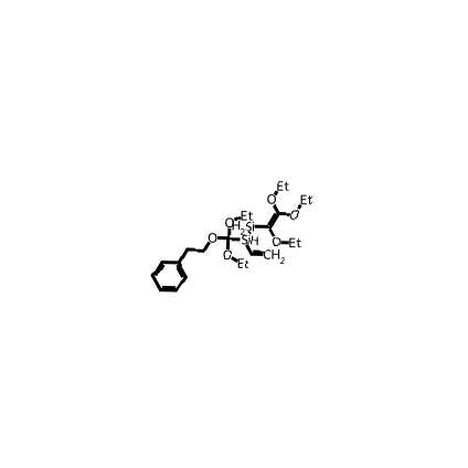 C=C[SiH]([SiH2]C(OCC)=C(OCC)OCC)C(OCC)(OCC)OCCc1ccccc1